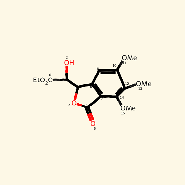 CCOC(=O)C(O)C1OC(=O)c2c1cc(OC)c(OC)c2OC